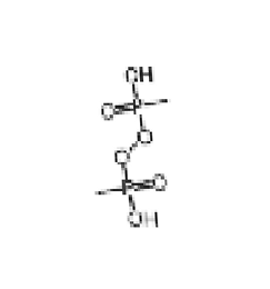 CP(=O)(O)OOP(C)(=O)O